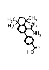 CC1(C)CCC(C)(C)c2c1ccc(-c1ccc(C(=O)O)cc1)c2C(N)=O